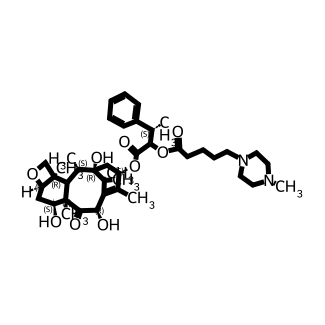 CC1=C2[C@@H](O)C(=O)[C@@]3(C)C([C@H](C)[C@](O)(C[C@@H]1OC(=O)C(OC(=O)CCCCN1CCN(C)CC1)[C@@H](C)c1ccccc1)C2(C)C)[C@]1(C)CO[C@@H]1C[C@@H]3O